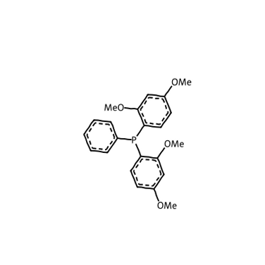 COc1ccc(P(c2ccccc2)c2ccc(OC)cc2OC)c(OC)c1